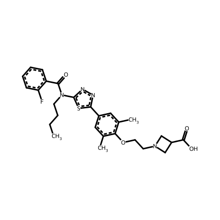 CCCCN(C(=O)c1ccccc1F)c1nnc(-c2cc(C)c(OCCN3CC(C(=O)O)C3)c(C)c2)s1